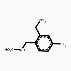 NCc1cc(C(F)(F)F)ccc1CNC(=O)O